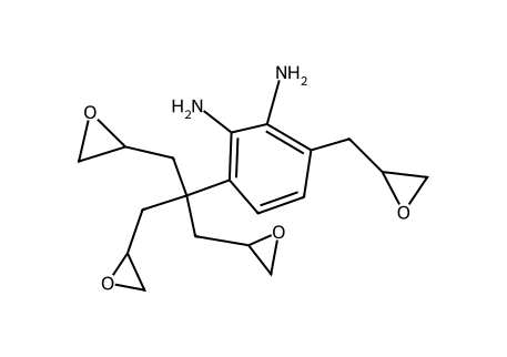 Nc1c(CC2CO2)ccc(C(CC2CO2)(CC2CO2)CC2CO2)c1N